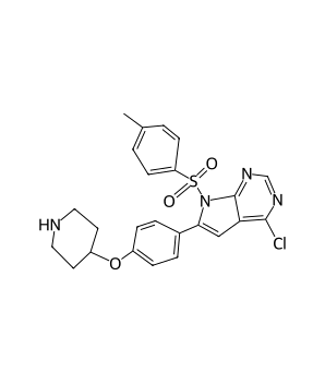 Cc1ccc(S(=O)(=O)n2c(-c3ccc(OC4CCNCC4)cc3)cc3c(Cl)ncnc32)cc1